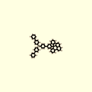 c1ccc(-c2ccc(N(c3ccc(-c4ccccc4)cc3)c3ccc(-c4ccc(C5(c6ccccc6)c6ccccc6-c6cccc7cccc5c67)cc4)cc3)cc2)cc1